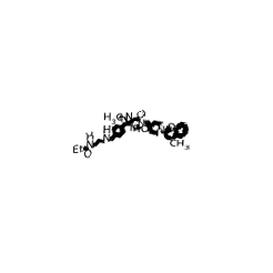 CCC(=O)NCCCNCc1ccc(-c2c3ncn(CC4(O)CCN(C(=O)CC(C)c5ccccc5)CC4)c(=O)c3nn2C)cc1